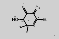 C=C1C(=O)C(CC)=CC(C)(C)C1O